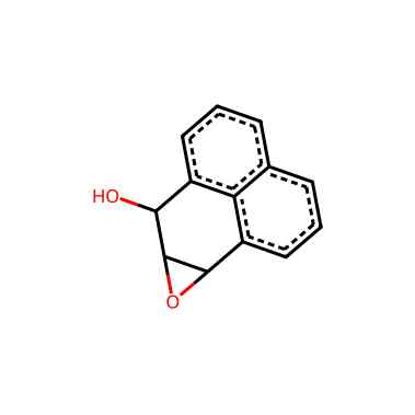 OC1c2cccc3cccc(c23)C2OC12